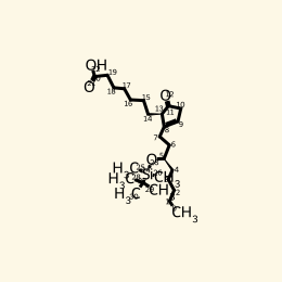 CCCCC[C@H](CCC1=CCC(=O)[C@@H]1CCCCCCC(=O)O)O[Si](C)(C)C(C)(C)C